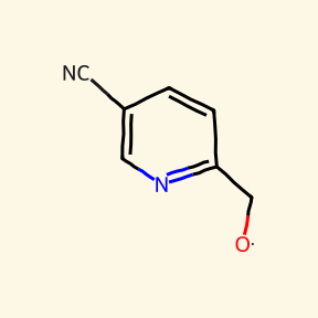 N#Cc1ccc(C[O])nc1